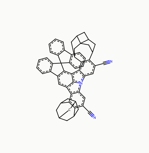 N#Cc1cc2c(c3c1C1CC4CC(C1)CC3C4)c1cc3c(c4c5c6c(c(C#N)cc5n2c14)C1CC2CC4CC6CC24C1)C1(c2ccccc2-c2ccccc21)c1ccccc1-3